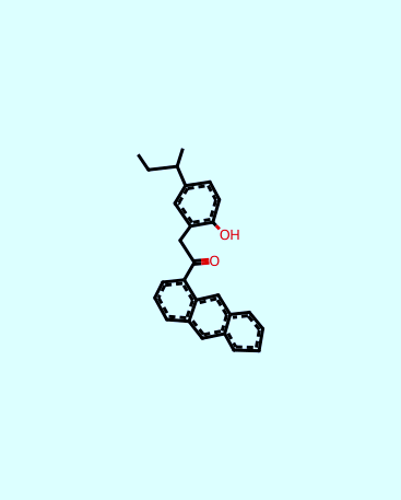 CCC(C)c1ccc(O)c(CC(=O)c2cccc3cc4ccccc4cc23)c1